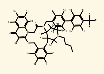 [2H]c1c([2H])c(F)c(F)c(CSc2c([2H])c(=O)c3c([2H])c([2H])c([2H])c([2H])c3n2CC(=O)N(Cc2c([2H])c([2H])c(-c3c([2H])c([2H])c(C(F)(F)F)c([2H])c3[2H])c([2H])c2C)C2([2H])C([2H])([2H])C([2H])([2H])N(CCOC)C([2H])([2H])C2([2H])[2H])c1[2H]